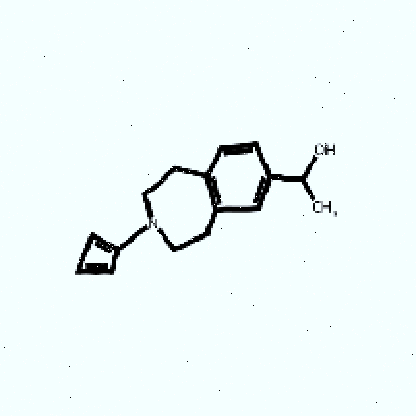 CC(O)c1ccc2c(c1)CCN(C1=CC=C1)CC2